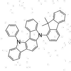 CC1(C)c2ccccc2-c2cccc(-n3c4ccccc4c4c3ccc3c5ccccc5n(-c5ccccc5)c34)c21